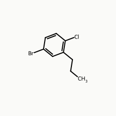 CCCc1cc(Br)ccc1Cl